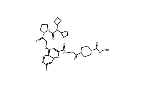 CCCCOC(=O)N1CCN(C(=O)CNC(=O)c2cc(OCC(=O)N3CCC[C@H]3C(=O)N(C3CCC3)C3CCC3)c3ccc(C)cc3n2)CC1